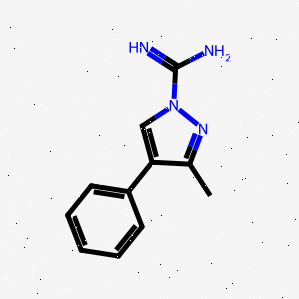 Cc1nn(C(=N)N)cc1-c1ccccc1